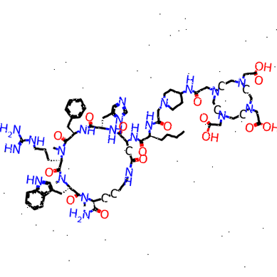 CCCC[C@H](NC(=O)CN1CCC(NC(=O)CN2CCN(CC(=O)O)CCN(CC(=O)O)CCN(CC(=O)O)CC2)CC1)C(=O)N[C@H]1CC(=O)NCCCC[C@@H](C(N)=O)N(C)C(=O)[C@H](Cc2c[nH]c3ccccc23)N(C)C(=O)[C@H](CCCNC(=N)N)N(C)C(=O)[C@@H](Cc2ccccc2)NC(=O)[C@H](Cc2cnc[nH]2)NC1=O